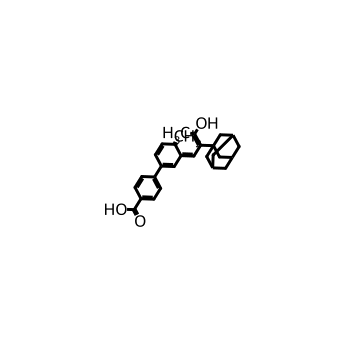 C=c1ccc(-c2ccc(C(=O)O)cc2)c/c1=C/C(=C(\C)O)C12CC3CC(CC(C3)C1)C2